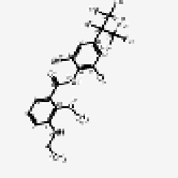 CCNc1cccc(C(=O)Nc2c(Cl)cc(C(F)(C(F)(F)F)C(F)(F)F)cc2Br)c1OC